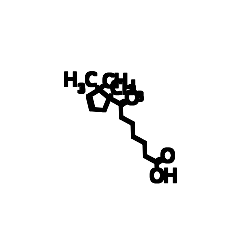 CC1(C)C=CC[C@]1(C)C(=O)CCCCCC(=O)O